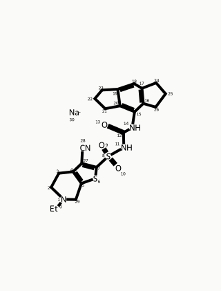 CCN1CCc2c(sc(S(=O)(=O)NC(=O)Nc3c4c(cc5c3CCC5)CCC4)c2C#N)C1.[Na]